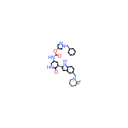 C[C@H]1CCCCN1Cc1ccc2[nH]c(-c3cc(NC(=O)Oc4cnn(Cc5ccccc5)c4)c[nH]c3=O)cc2c1